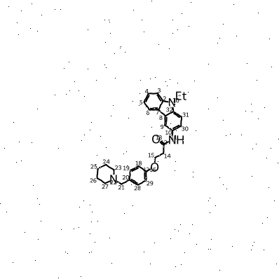 CCn1c2ccccc2c2cc(NC(=O)CCOc3ccc(CN4CCCCC4)cc3)ccc21